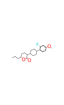 CCCC1CCC(C2CCC(c3ccc(OC)cc3F)CC2)C(=O)O1